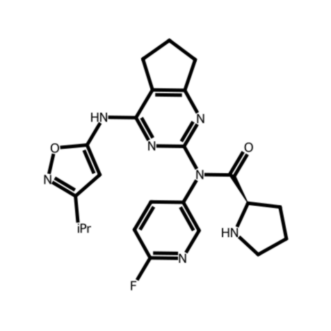 CC(C)c1cc(Nc2nc(N(C(=O)[C@H]3CCCN3)c3ccc(F)nc3)nc3c2CCC3)on1